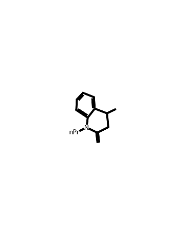 C=C1CC(C)c2ccccc2N1CCC